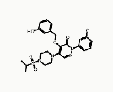 CC(C)S(=O)(=O)N1CCN(c2cnn(-c3cccc(Cl)c3)c(=O)c2OCc2cccc(O)c2)CC1